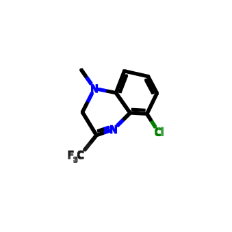 CN1CC(C(F)(F)F)=Nc2c(Cl)cccc21